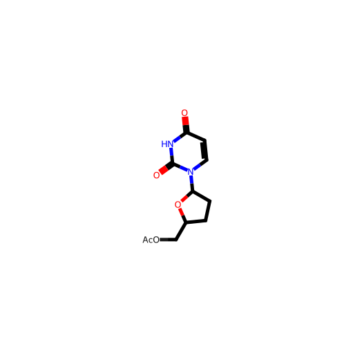 CC(=O)OCC1CCC(n2ccc(=O)[nH]c2=O)O1